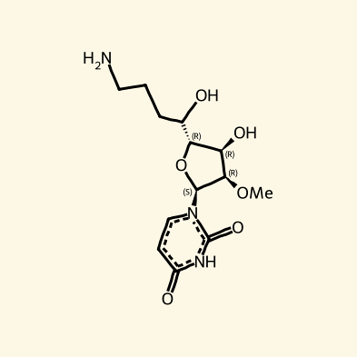 CO[C@@H]1[C@H](O)[C@@H](C(O)CCCN)O[C@@H]1n1ccc(=O)[nH]c1=O